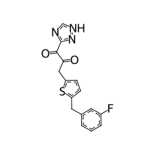 O=C(Cc1ccc(Cc2cccc(F)c2)s1)C(=O)c1nc[nH]n1